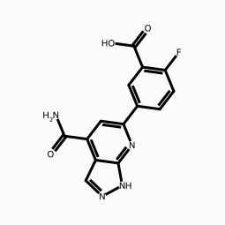 NC(=O)c1cc(-c2ccc(F)c(C(=O)O)c2)nc2[nH]ncc12